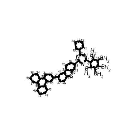 Bc1c(B)c(B)c(-c2nc(-c3ccccc3)nc(-c3ccc4c(c3)sc3ccc(-c5ccc6c7ccccc7c7ccccc7c6c5)cc34)n2)c(B)c1B